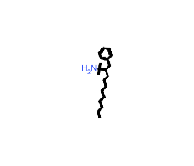 CCCCCCCCCC(Cc1ccccc1)C(C)(C)N